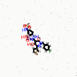 CS(=O)(=O)Nc1ccc2c(c1)P(=O)(O)N=C(c1c(O)c(C3=CSCC3)nn(Cc3ccc(F)cc3)c1=O)N2